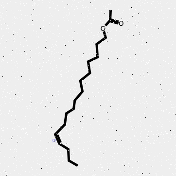 CCC/C=C\CCCCCCCCCCCOC(C)=O